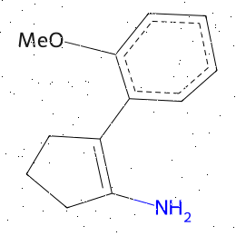 COc1ccccc1C1=C(N)CCC1